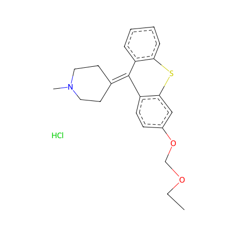 CCOCOc1ccc2c(c1)Sc1ccccc1C2=C1CCN(C)CC1.Cl